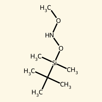 CONO[Si](C)(C)C(C)(C)C